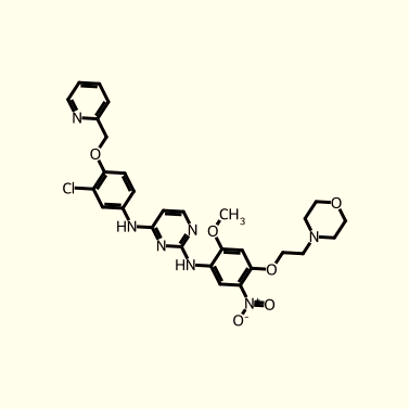 COc1cc(OCCN2CCOCC2)c([N+](=O)[O-])cc1Nc1nccc(Nc2ccc(OCc3ccccn3)c(Cl)c2)n1